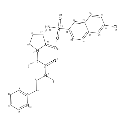 C[C@@H](C(=O)N(C)CCc1ccccn1)N1CC[C@H](NS(=O)(=O)c2ccc3cc(Cl)ccc3c2)C1=O